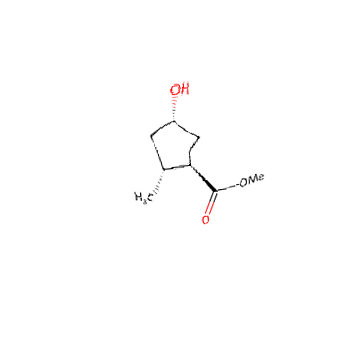 COC(=O)[C@@H]1C[C@@H](O)C[C@H]1C